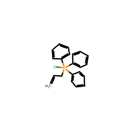 C=CCP(Cl)(c1ccccc1)(c1ccccc1)c1ccccc1